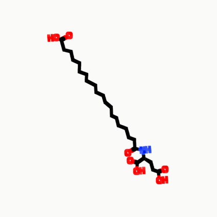 O=C(O)CCCCCCCCCCCCCCCCCCC(=O)N[C@@H](CCC(=O)O)C(=O)O